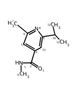 CNC(=O)c1cc(C)nc(C(C)C)c1